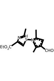 CCOC(=O)C1=C[SH](n2c(C)cc(C=O)c2C)C(C)=N1